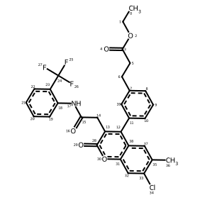 CCOC(=O)CCc1cccc(-c2c(CC(=O)Nc3ccccc3C(F)(F)F)c(=O)oc3cc(Cl)c(C)cc23)c1